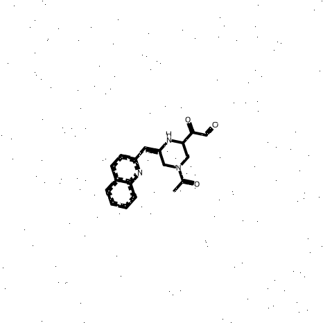 CC(=O)N1CC(=Cc2ccc3ccccc3n2)NC(C(=O)C=O)C1